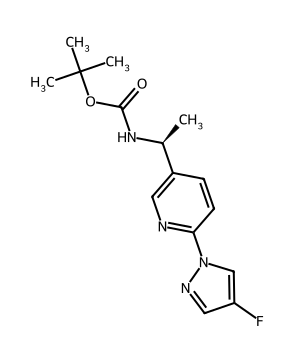 C[C@H](NC(=O)OC(C)(C)C)c1ccc(-n2cc(F)cn2)nc1